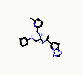 C=C(/N=C(/CNc1ccccc1)NCc1cccc(C)n1)c1ccc2ncnn2c1